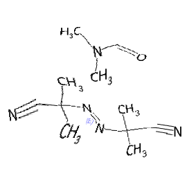 CC(C)(C#N)/N=N/C(C)(C)C#N.CN(C)C=O